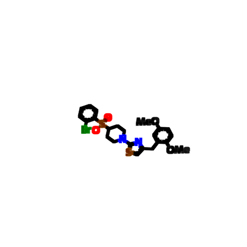 COc1ccc(OC)c(Cc2csc(N3CCC(S(=O)(=O)c4ccccc4Br)CC3)n2)c1